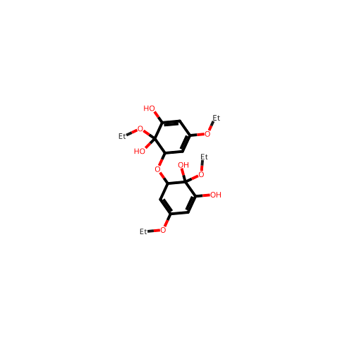 CCOC1=CC(OC2C=C(OCC)C=C(O)C2(O)OCC)C(O)(OCC)C(O)=C1